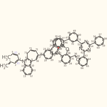 C=C/C=C(\C=C/C)n1c2c(c3ccccc31)C=C(c1ccc3c(c1)c1ccccc1n3-c1cccc(C=O)c1Oc1c(C)cccc1-c1cccc(-c3nc(-c4ccccc4)nc(-c4ccccc4)n3)c1)C=CC2